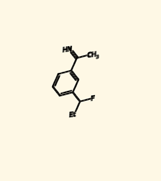 CCC(F)c1cccc(C(C)=N)c1